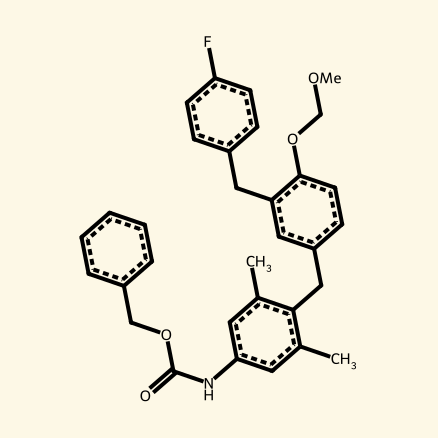 COCOc1ccc(Cc2c(C)cc(NC(=O)OCc3ccccc3)cc2C)cc1Cc1ccc(F)cc1